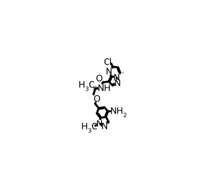 C[C@H](COCc1cc(N)c2cnn(C)c2c1)NC(=O)c1cnn2[c]cc(Cl)nc12